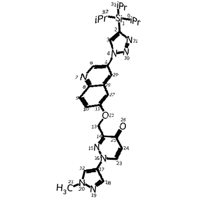 CC(C)[Si](c1cn(-c2cnc3ccc(OCc4nn(-c5cnn(C)c5)ccc4=O)cc3c2)nn1)(C(C)C)C(C)C